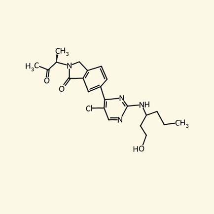 CCCC(CCO)Nc1ncc(Cl)c(-c2ccc3c(c2)C(=O)N([C@H](C)C(C)=O)C3)n1